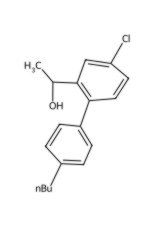 CCCCc1ccc(-c2ccc(Cl)cc2C(C)O)cc1